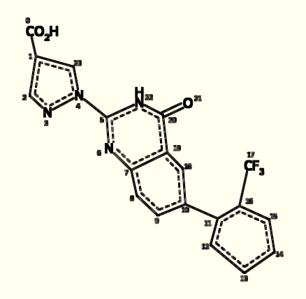 O=C(O)c1cnn(-c2nc3ccc(-c4ccccc4C(F)(F)F)cc3c(=O)[nH]2)c1